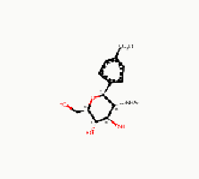 CCOC(=O)c1ccc([C@@H]2O[C@H](CO)[C@@H](O)[C@H](O)[C@H]2NC(C)=O)cc1